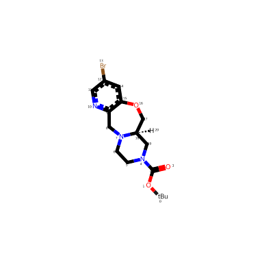 CC(C)(C)OC(=O)N1CCN2Cc3ncc(Br)cc3OC[C@H]2C1